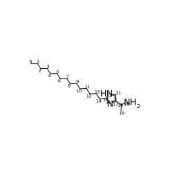 CCCCCCCCCCCCCCCc1nc(C(C)N)c[nH]1